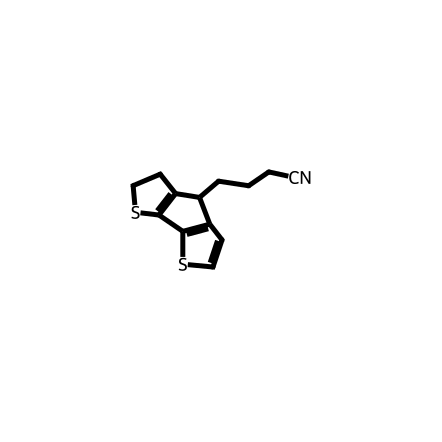 N#CCCCC1C2=C(SCC2)c2sccc21